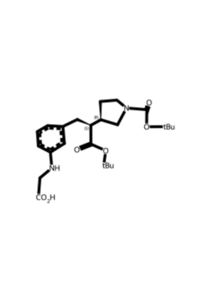 CC(C)(C)OC(=O)[C@@H](Cc1cccc(NCC(=O)O)c1)[C@H]1CCN(C(=O)OC(C)(C)C)C1